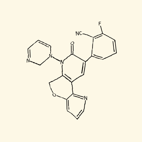 N#Cc1c(F)cccc1-c1cc2c(n(N3C=CC=NC3)c1=O)COc1cccnc1-2